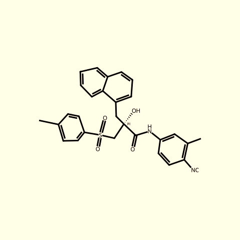 [C-]#[N+]c1ccc(NC(=O)[C@](O)(Cc2cccc3ccccc23)CS(=O)(=O)c2ccc(C)cc2)cc1C